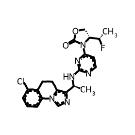 C[C@H](Nc1nccc(N2C(=O)OC[C@@H]2[C@H](C)F)n1)c1ncn2c1CCc1c(Cl)cccc1-2